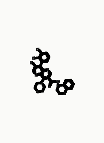 O=C(N[C@H]1CCOc2ccccc21)c1cnc2c(-c3cccc(Cl)c3Cl)c(Cl)cnc2c1N1CCOCC1